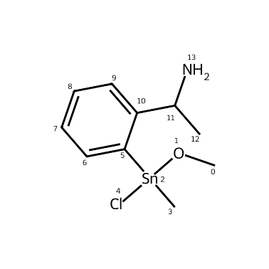 C[O][Sn]([CH3])([Cl])[c]1ccccc1C(C)N